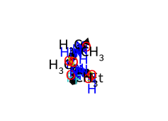 CCNS(=O)(=O)c1ccc(Nc2ncc3c(n2)N(C)C(c2c(F)cccc2F)C(=O)N3CC2CC2N(C)S(=O)(=O)c2ccc(Nc3ncc4c(n3)N(C)C(CC3CC3)C(=O)N4C)cc2)cc1